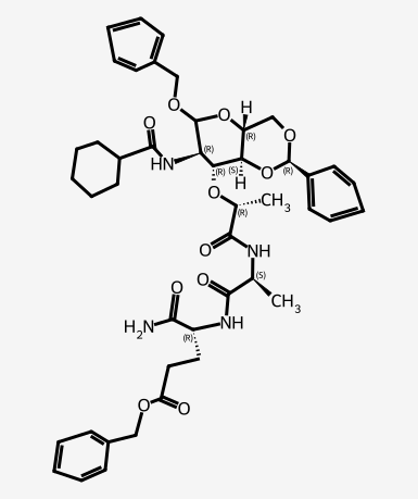 C[C@H](NC(=O)[C@@H](C)O[C@H]1[C@@H]2O[C@H](c3ccccc3)OC[C@H]2OC(OCc2ccccc2)[C@@H]1NC(=O)C1CCCCC1)C(=O)N[C@H](CCC(=O)OCc1ccccc1)C(N)=O